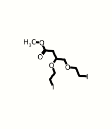 COC(=O)CC(COCCI)OCCI